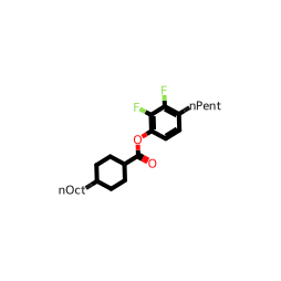 CCCCCCCCC1CCC(C(=O)Oc2ccc(CCCCC)c(F)c2F)CC1